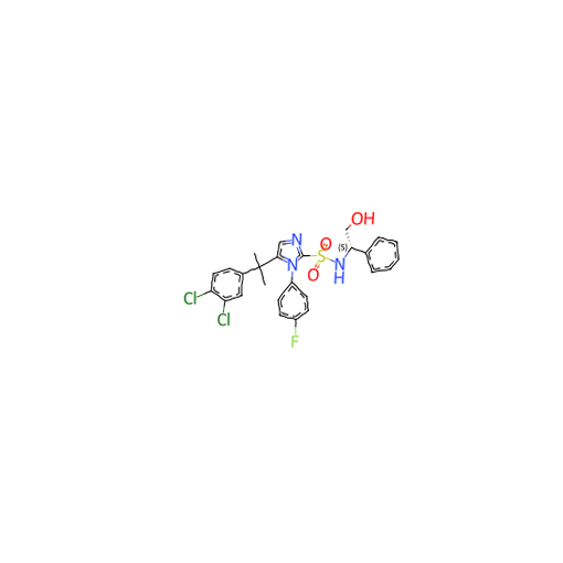 CC(C)(c1ccc(Cl)c(Cl)c1)c1cnc(S(=O)(=O)N[C@H](CO)c2ccccc2)n1-c1ccc(F)cc1